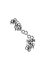 COC(=O)NC(C(=O)N1CCC[C@H]1c1ncc(-c2ccc3cc(-c4ccc5c(ccc6nc([C@@H]7CCCN7C(=O)[C@@H](NC(=O)OC)C(C)C)[nH]c65)c4)ccc3c2)[nH]1)C(C)C